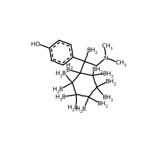 BC(CN(C)C)(c1ccc(O)cc1)C1(B)C(B)(B)C(B)(B)C(B)(B)C(B)(B)C1(B)B